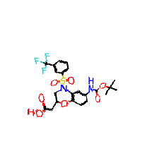 CC(C)(C)OC(=O)Nc1ccc2c(c1)N(S(=O)(=O)c1cccc(C(F)(F)F)c1)CC(CC(=O)O)O2